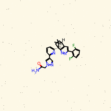 CC1(C)[C@H]2CC[C@]1(c1cccc(-c3cnn(CC(N)=O)c3)n1)c1nnc(-c3c(F)cccc3F)cc12